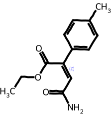 CCOC(=O)/C(=C\C(N)=O)c1ccc(C)cc1